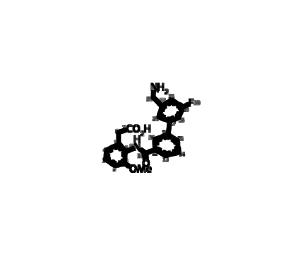 COc1cccc(CC(=O)O)c1NC(=O)c1cccc(-c2cc(F)cc(CN)c2)c1